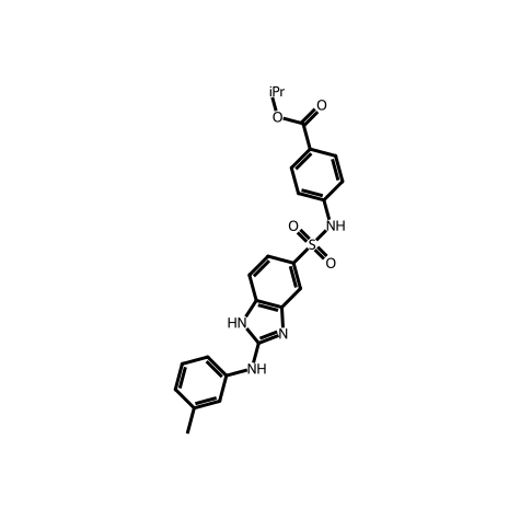 Cc1cccc(Nc2nc3cc(S(=O)(=O)Nc4ccc(C(=O)OC(C)C)cc4)ccc3[nH]2)c1